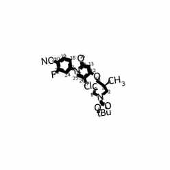 C[C@H]1CN(C(=O)OC(C)(C)C)CC[C@@H]1Oc1cc(=O)n(-c2ccc(C#N)c(F)c2)cc1Cl